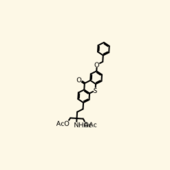 CC(=O)NC(CCc1ccc2c(=O)c3cc(OCc4ccccc4)ccc3sc2c1)(COC(C)=O)COC(C)=O